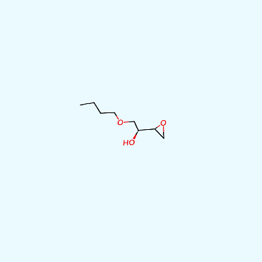 CCCCOC[C@H](O)C1CO1